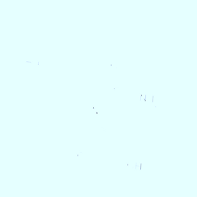 C=CCN(C(N)=O)C(=O)CO